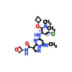 C=N/C(OC1CCC1)=C(\C=C(/C)Cl)Nc1cc(NC)n2ncc(C(=O)NC3COC3)c2n1